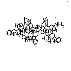 CSCCC(NC(=O)C(Cc1c[nH]c2ccccc12)NC(=O)C(Cc1c[nH]cn1)NC(=O)C(CC(N)=O)NC(=O)C(CO)NC(=O)C(Cc1ccccc1)NC(C)=O)C(=O)NC(CC(N)=O)C(=O)NC(Cc1c[nH]c2ccccc12)C(N)=O